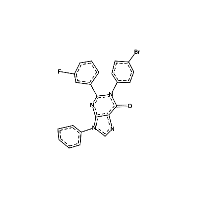 O=c1c2ncn(-c3ccccc3)c2nc(-c2cccc(F)c2)n1-c1ccc(Br)cc1